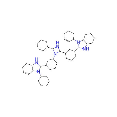 C1=CC(N2C3CCCCC3NC2C2CCCC(C3NC(C4CCCCC4)N3C3CCCC(C4NC5CCC=CC5N4C4CCCCC4)C3)C2)CCC1